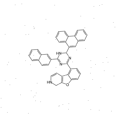 C1=Cc2c(oc3cccc(C4=NC(c5cc6ccccc6c6ccccc56)NC(c5ccc6ccccc6c5)=N4)c23)CN1